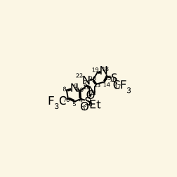 CCS(=O)(=O)c1cc(C(F)(F)F)cnc1-c1nc2cc(SC(F)(F)F)ncc2n1C